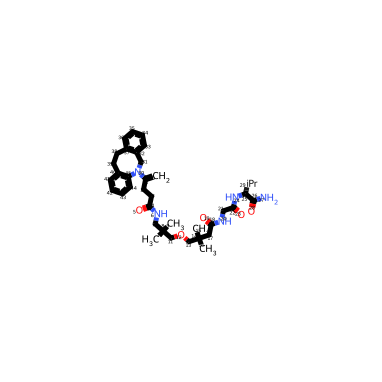 C=C(CCC(=O)NCC(C)(C)COCC(C)(C)CC(=O)NCC(=O)NC(C(N)=O)C(C)C)N1Cc2ccccc2CCc2ccccc21